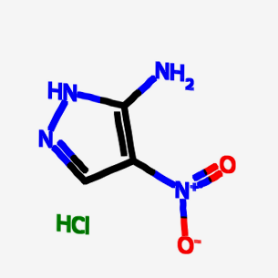 Cl.Nc1[nH]ncc1[N+](=O)[O-]